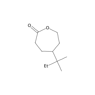 CCC(C)(C)C1CCOC(=O)CC1